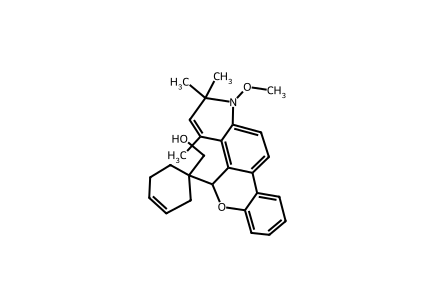 CON1c2ccc3c(c2C(C)=CC1(C)C)C(C1(CO)CC=CCC1)Oc1ccccc1-3